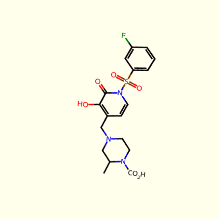 CC1CN(Cc2ccn(S(=O)(=O)c3cccc(F)c3)c(=O)c2O)CCN1C(=O)O